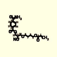 C=CC(=O)OCCCCOCC(COC(=O)c1ccc(C(N)=O)cc1)N=O